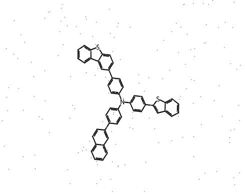 c1ccc2cc(-c3ccc(N(c4ccc(-c5ccc6sc7ccccc7c6c5)cc4)c4ccc(-c5cc6ccccc6s5)cc4)cc3)ccc2c1